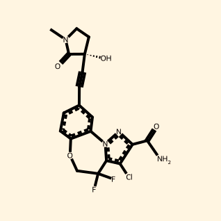 CN1CC[C@@](O)(C#Cc2ccc3c(c2)-n2nc(C(N)=O)c(Cl)c2C(F)(F)CO3)C1=O